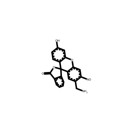 NCc1cc2c(cc1N=O)Oc1cc(O)ccc1C21OC(=O)c2ccccc21